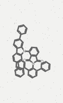 O=C1c2cccc(-n3c4cc(-c5ccccc5)ccc4c4ccc(-c5ccccc5)cc43)c2C(=O)N1c1c(-c2ccccc2)cccc1-c1ccccc1